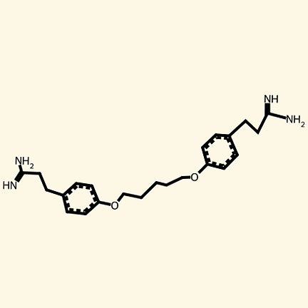 N=C(N)CCc1ccc(OCCCCCOc2ccc(CCC(=N)N)cc2)cc1